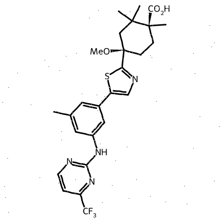 CO[C@]1(c2ncc(-c3cc(C)cc(Nc4nccc(C(F)(F)F)n4)c3)s2)CC[C@](C)(C(=O)O)C(C)(C)C1